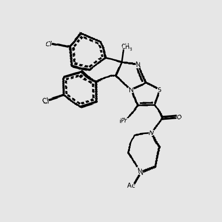 CC(=O)N1CCN(C(=O)C2=C(C(C)C)N3C(=NC(C)(c4ccc(Cl)cc4)C3c3ccc(Cl)cc3)S2)CC1